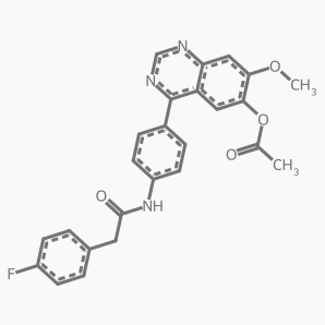 COc1cc2ncnc(-c3ccc(NC(=O)Cc4ccc(F)cc4)cc3)c2cc1OC(C)=O